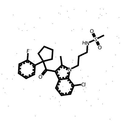 Cc1c(C(=O)C2(c3ccccc3F)CCCC2)c2cccc(Cl)c2n1CCCNS(C)(=O)=O